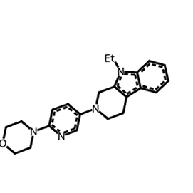 CCn1c2c(c3ccccc31)CCN(c1ccc(N3CCOCC3)nc1)C2